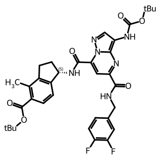 Cc1c(C(=O)OC(C)(C)C)ccc2c1CC[C@@H]2NC(=O)c1cc(C(=O)NCc2ccc(F)c(F)c2)nc2c(NC(=O)OC(C)(C)C)cnn12